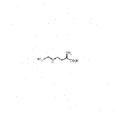 NC(CCNCS(=O)(=O)O)C(=O)O